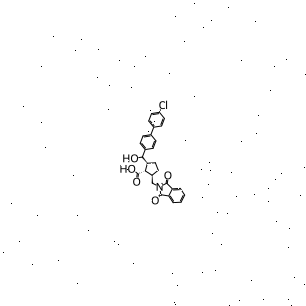 O=C(O)[C@H]1[C@H](CN2C(=O)c3ccccc3C2=O)CC[C@@H]1C(O)c1ccc(-c2ccc(Cl)cc2)cc1